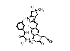 C#CCN1C(=O)COc2cc(F)c(/N=c3\snc4n3CC(C)(C)C4)cc21.CN(C)C(=O)Nc1cccc(C(F)(F)F)c1